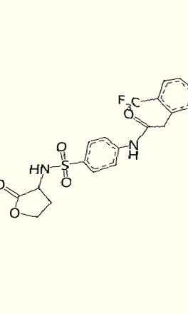 O=C(Cc1ccccc1C(F)(F)F)Nc1ccc(S(=O)(=O)NC2CCOC2=O)cc1